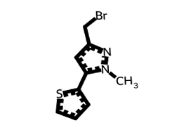 Cn1nc(CBr)cc1-c1cccs1